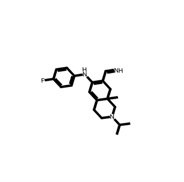 CC(C)N1CCC2=CC(Nc3ccc(F)cc3)=C(C=N)CC2(C)C1